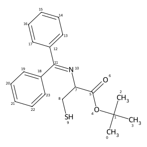 CC(C)(C)OC(=O)C(CS)N=C(c1ccccc1)c1ccccc1